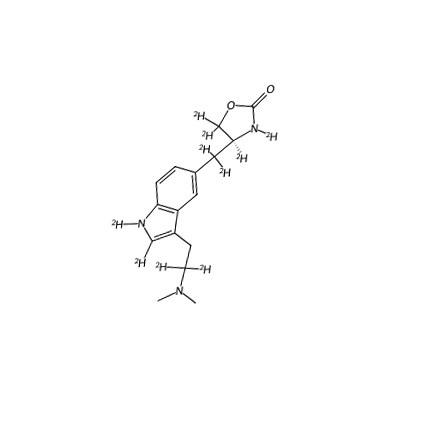 [2H]c1c(CC([2H])([2H])N(C)C)c2cc(C([2H])([2H])[C@]3([2H])N([2H])C(=O)OC3([2H])[2H])ccc2n1[2H]